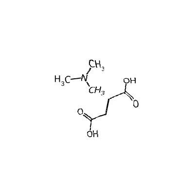 CN(C)C.O=C(O)CCC(=O)O